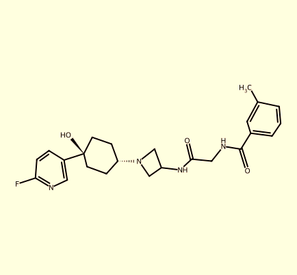 Cc1cccc(C(=O)NCC(=O)NC2CN([C@H]3CC[C@@](O)(c4ccc(F)nc4)CC3)C2)c1